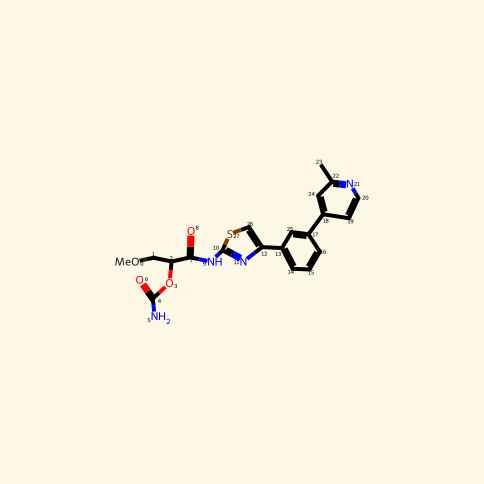 COCC(OC(N)=O)C(=O)Nc1nc(-c2cccc(-c3ccnc(C)c3)c2)cs1